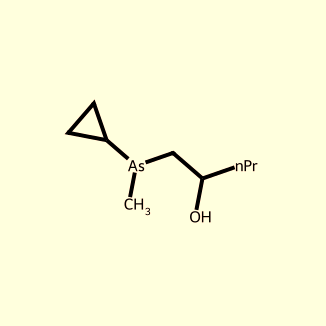 CCCC(O)C[As](C)C1CC1